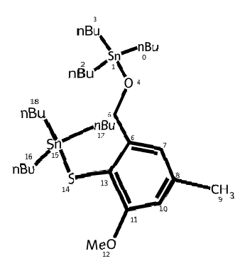 CCC[CH2][Sn]([CH2]CCC)([CH2]CCC)[O]Cc1cc(C)cc(OC)c1[S][Sn]([CH2]CCC)([CH2]CCC)[CH2]CCC